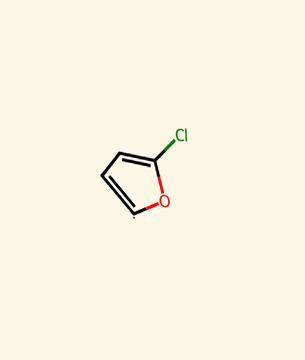 Clc1cc[c]o1